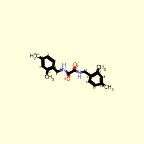 Cc1ccc(CNC(=O)C(=O)NCc2ccc(C)cc2C)c(C)c1